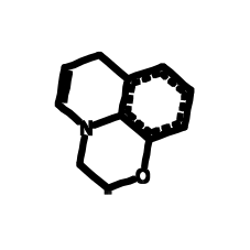 [C]1CN2C=CCc3cccc(c32)O1